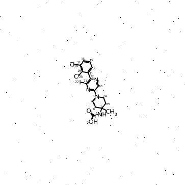 CC1(NC(=O)O)CCN(c2cnc(-c3cccc(Cl)c3Cl)c(I)n2)CC1